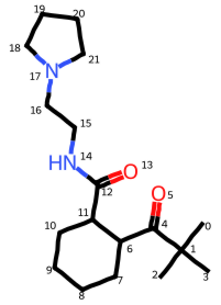 CC(C)(C)C(=O)C1CCCCC1C(=O)NCCN1CCCC1